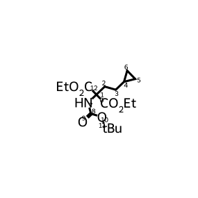 CCOC(=O)C(CCC1CC1)(NC(=O)OC(C)(C)C)C(=O)OCC